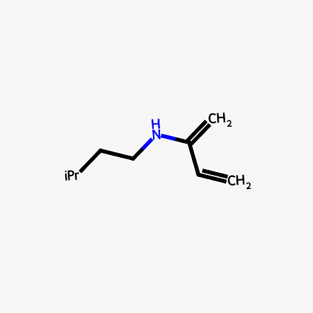 C=CC(=C)NCCC(C)C